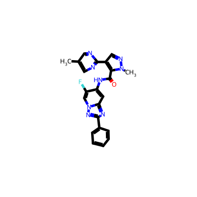 Cc1cnc(-c2cnn(C)c2C(=O)Nc2cc3nc(-c4ccccc4)nn3cc2F)nc1